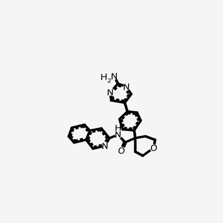 Nc1ncc(-c2ccc(C3(C(=O)Nc4cc5ccccc5cn4)CCOCC3)cc2)cn1